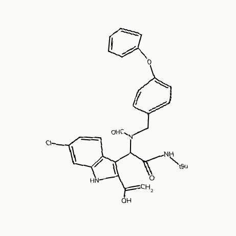 C=C(O)c1[nH]c2cc(Cl)ccc2c1C(C(=O)NC(C)(C)C)N(C=O)Cc1ccc(Oc2ccccc2)cc1